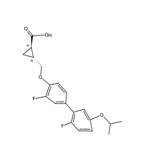 CC(C)Oc1ccc(F)c(-c2ccc(OC[C@@H]3C[C@H]3C(=O)O)c(F)c2)c1